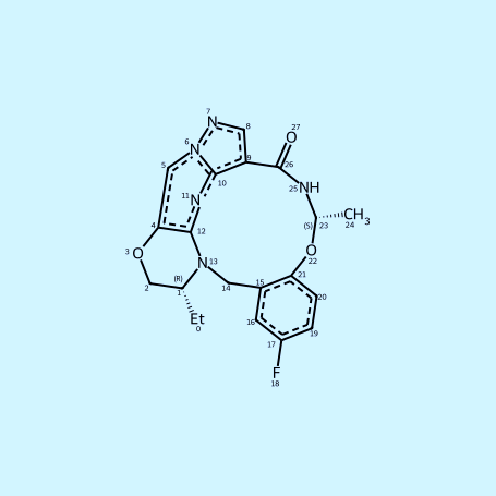 CC[C@@H]1COc2cn3ncc4c3nc2N1Cc1cc(F)ccc1O[C@@H](C)NC4=O